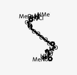 C=C(NC)C(=O)N[C@H](C(=O)N1CCC[C@H]1c1nc(C(=O)c2cccc(OCCOCCOCCOCCOCCN3CCN(C(=O)c4ccc(Nc5ncc(Cl)c(NC)n5)c(OC)c4)CC3)c2)cs1)C1CCCCC1